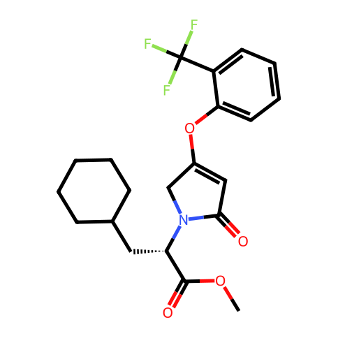 COC(=O)[C@H](CC1CCCCC1)N1CC(Oc2ccccc2C(F)(F)F)=CC1=O